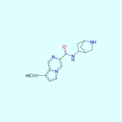 C#Cc1ccn2cc(C(=O)NC3CC4CC3CN4)ncc12